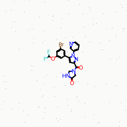 O=C1CN(C(=O)c2cc(-c3cc(Br)cc(OC(F)F)c3)n(-c3cccnc3)n2)CN1